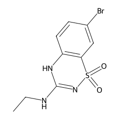 CCNC1=NS(=O)(=O)c2cc(Br)ccc2N1